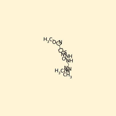 CCOc1cncc(-c2ccc3nc(NC(=O)NCCc4nnn(C(C)C)n4)sc3c2)c1